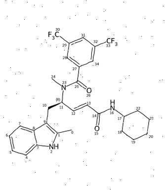 Cc1[nH]c2ccccc2c1C[C@H](C=CC(=O)NC1CCCCC1)N(C)C(=O)c1cc(C(F)(F)F)cc(C(F)(F)F)c1